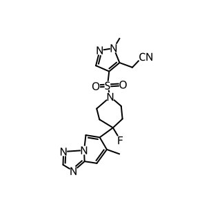 Cc1cc2ncnn2cc1C1(F)CCN(S(=O)(=O)c2cnn(C)c2CC#N)CC1